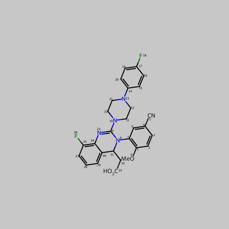 COc1ccc(C#N)cc1N1C(N2CCN(c3ccc(F)cc3)CC2)=Nc2c(F)cccc2C1CC(=O)O